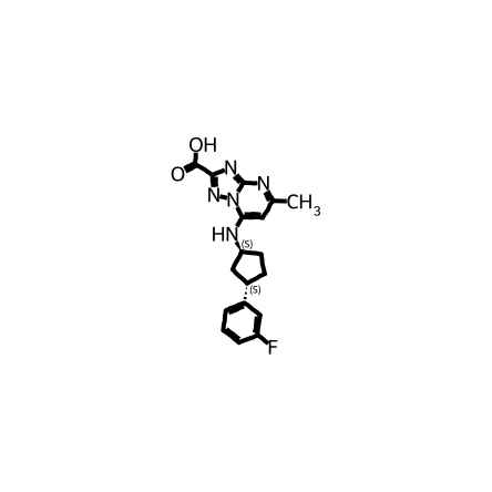 Cc1cc(N[C@H]2CC[C@H](c3cccc(F)c3)C2)n2nc(C(=O)O)nc2n1